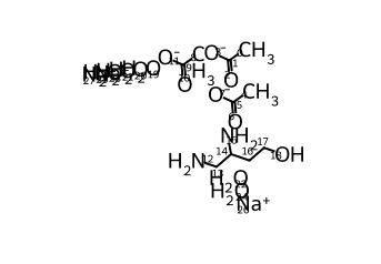 CC(=O)[O-].CC(=O)[O-].CC(=O)[O-].NCC(N)CCO.O.O.O.O.O.O.[Na+].[Na+].[Na+]